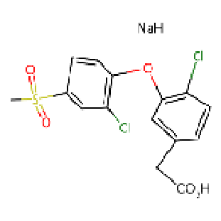 CS(=O)(=O)c1ccc(Oc2cc(CC(=O)O)ccc2Cl)c(Cl)c1.[NaH]